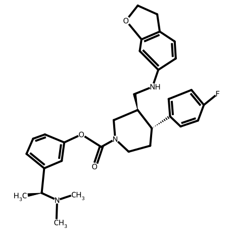 C[C@@H](c1cccc(OC(=O)N2CC[C@@H](c3ccc(F)cc3)[C@H](CNc3ccc4c(c3)OCC4)C2)c1)N(C)C